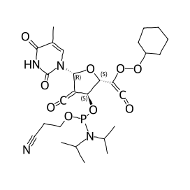 Cc1cn([C@@H]2O[C@H](C(=C=O)OOC3CCCCC3)[C@@H](OP(OCCC#N)N(C(C)C)C(C)C)C2=C=O)c(=O)[nH]c1=O